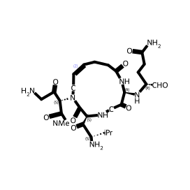 CNC(=O)[C@H](C(=O)CN)N1C/C=C\CCC(=O)N[C@@H](N[C@@H](C=O)CCC(N)=O)C(=O)CN[C@@H](C(=O)[C@@H](N)C(C)C)C1=O